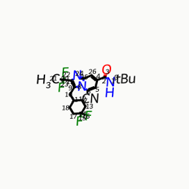 CC(C)(C)NC(=O)c1cc(C#N)n2c(CC3CCC(F)(F)CC3)c(C(C)(F)F)nc2c1